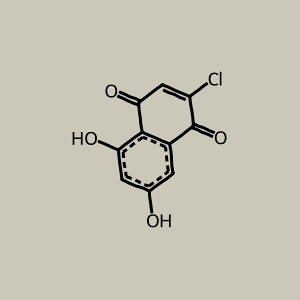 O=C1C(Cl)=CC(=O)c2c(O)cc(O)cc21